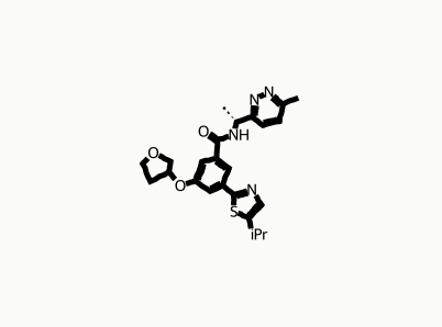 Cc1ccc([C@@H](C)NC(=O)c2cc(OC3CCOC3)cc(-c3ncc(C(C)C)s3)c2)nn1